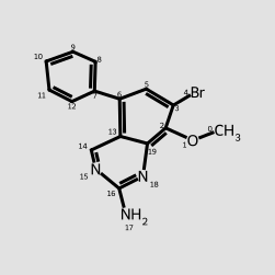 COc1c(Br)cc(-c2ccccc2)c2cnc(N)nc12